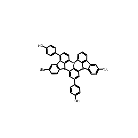 CC(C)(C)c1ccc2c(c1)-c1cccc3c1B2c1cc(-c2ccc(O)cc2)cc2c1N3c1ccc(-c3ccc(O)cc3)c3c1B2c1ccc(C(C)(C)C)cc1-3